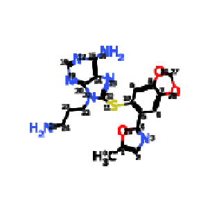 Cc1cnc(-c2cc3c(cc2Sc2nc4c(N)ncnc4n2CCCN)OCO3)o1